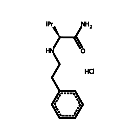 CC(C)[C@H](NCCc1ccccc1)C(N)=O.Cl